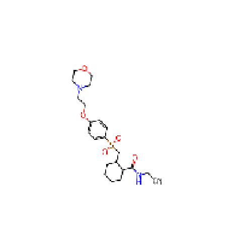 N#CCNC(=O)C1CCCCC1CS(=O)(=O)c1ccc(OCCN2CCOCC2)cc1